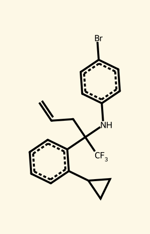 C=CCC(Nc1ccc(Br)cc1)(c1ccccc1C1CC1)C(F)(F)F